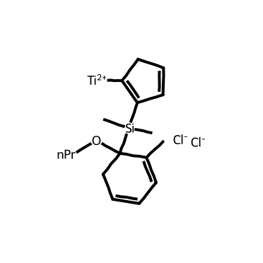 CCCOC1([Si](C)(C)C2=[C]([Ti+2])CC=C2)CC=CC=C1C.[Cl-].[Cl-]